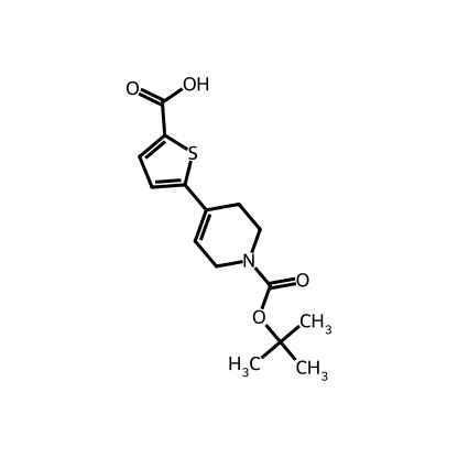 CC(C)(C)OC(=O)N1CC=C(c2ccc(C(=O)O)s2)CC1